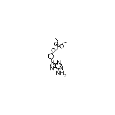 CCOP(COC1CCC(n2cnc3c(N)ncnc32)C1)OCC